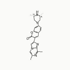 Cc1cn2cc(-c3cc4ccc(N5C[C@@H](C)N[C@@H](C)C5)cc4oc3=O)nc2c(C)n1